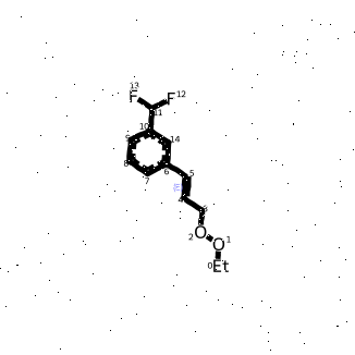 CCOOC/C=C/c1cccc(C(F)F)c1